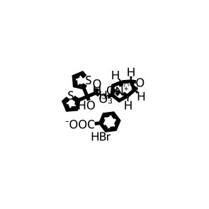 Br.C[N+]1(C)[C@@H]2CC(OC(=O)C(O)(c3cccs3)c3cccs3)C[C@H]1[C@@H]1O[C@@H]12.O=C([O-])c1ccccc1